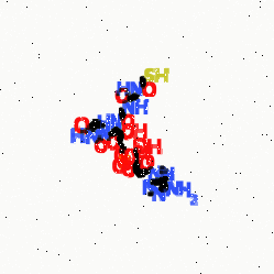 Nc1ncnc2c1ncn2[C@H]1C[C@H](OP(=O)(O)OC[C@H]2O[C@@H](n3ccc(=O)[nH]c3=O)[C@H](NC(=O)CNC(=O)CNC(=O)CS)[C@@H]2O)[C@@H](CO)O1